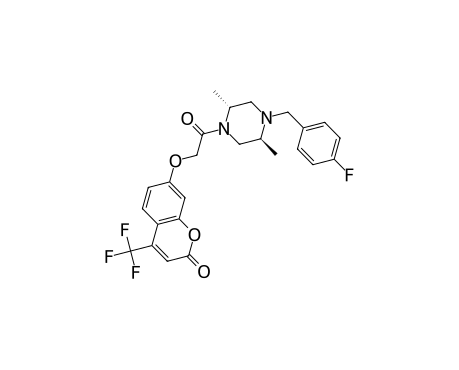 C[C@@H]1CN(Cc2ccc(F)cc2)[C@@H](C)CN1C(=O)COc1ccc2c(C(F)(F)F)cc(=O)oc2c1